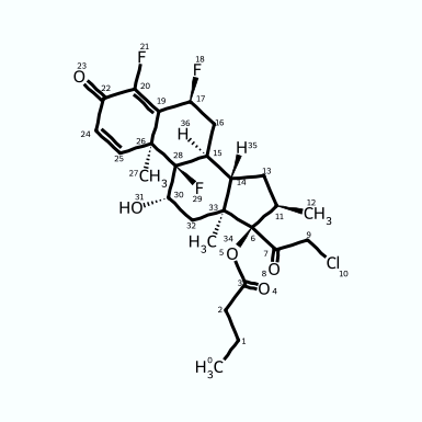 CCCC(=O)O[C@]1(C(=O)CCl)[C@H](C)C[C@H]2[C@@H]3C[C@H](F)C4=C(F)C(=O)C=C[C@]4(C)[C@@]3(F)[C@@H](O)C[C@@]21C